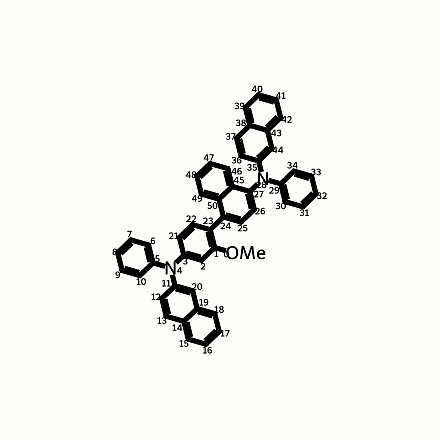 COc1cc(N(c2ccccc2)c2ccc3ccccc3c2)ccc1-c1ccc(N(c2ccccc2)c2ccc3ccccc3c2)c2ccccc12